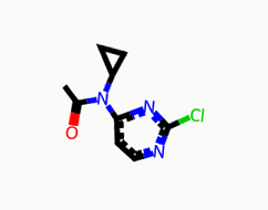 CC(=O)N(c1ccnc(Cl)n1)C1CC1